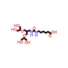 O=C(O)CCCCCNC(=O)NCC(COC(CO)CO)COC(CO)CO